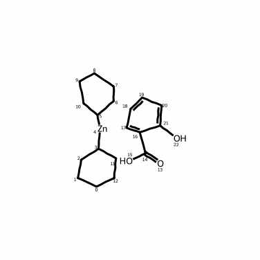 C1CC[CH]([Zn][CH]2CCCCC2)CC1.O=C(O)c1ccccc1O